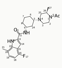 CC(=O)N1CCN([C@H]2CCC[C@@H](NC(=O)c3cc4c(F)ccc(C)c4[nH]3)C2)C[C@H]1C